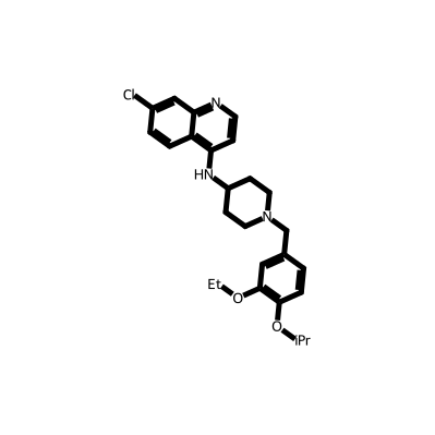 CCOc1cc(CN2CCC(Nc3ccnc4cc(Cl)ccc34)CC2)ccc1OC(C)C